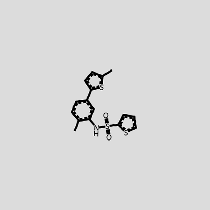 Cc1ccc(-c2ccc(C)c(NS(=O)(=O)c3cccs3)c2)s1